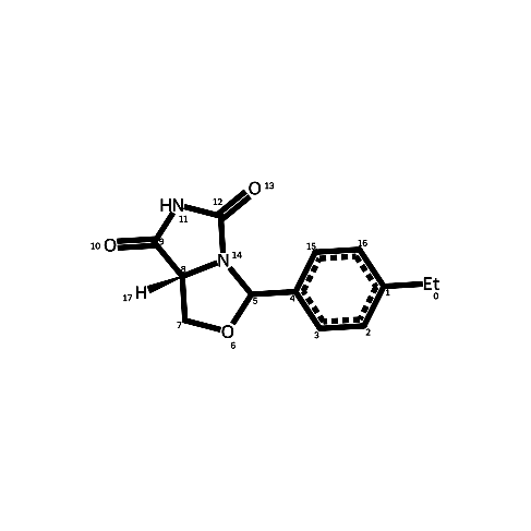 CCc1ccc(C2OC[C@@H]3C(=O)NC(=O)N23)cc1